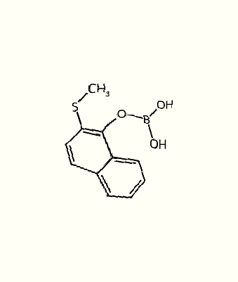 CSc1ccc2ccccc2c1OB(O)O